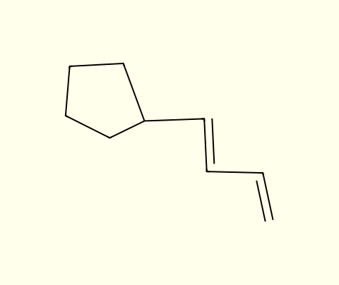 C=C/C=C/C1CCCC1